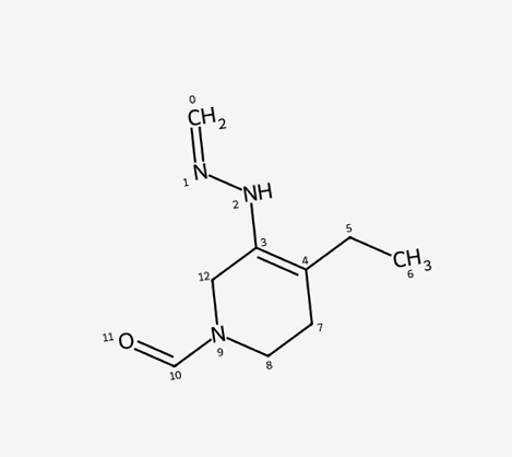 C=NNC1=C(CC)CCN(C=O)C1